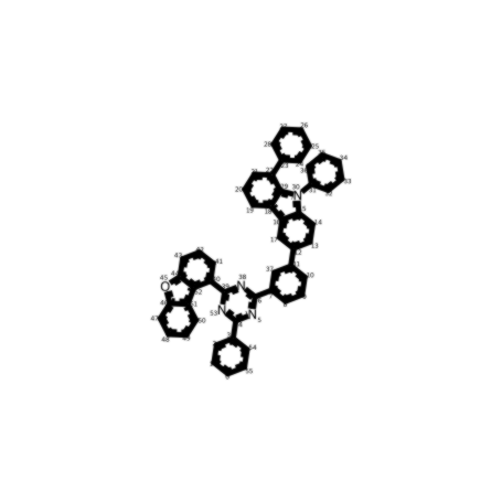 c1ccc(-c2nc(-c3cccc(-c4ccc5c(c4)c4cccc(-c6ccccc6)c4n5-c4ccccc4)c3)nc(-c3cccc4oc5ccccc5c34)n2)cc1